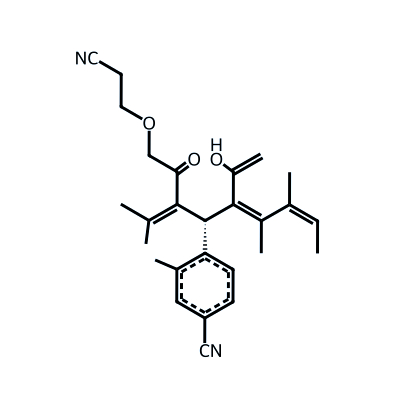 C=C(O)/C(=C(C)\C(C)=C/C)[C@@H](C(C(=O)COCCC#N)=C(C)C)c1ccc(C#N)cc1C